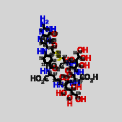 Nc1nc2ncc(CNc3ccc(C(=O)N[C@@H](CCC(=O)N[C@H](C(=O)N[C@@H](CC(=O)O)C(=O)N[C@H](C(=O)N[C@@H](CSSCCOC=O)C(=O)O)[C@@H](O)[C@H](O)[C@H](O)CO)[C@@H](O)[C@H](O)[C@H](O)CO)C(=O)O)cc3)nc2c(=O)[nH]1